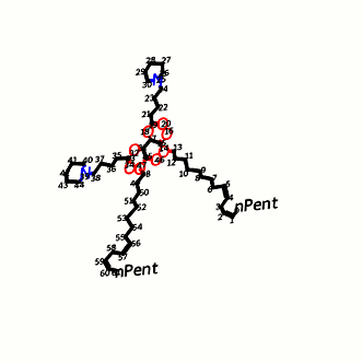 CCCCC/C=C\C/C=C\CCCCCCCCOC(=O)C(OC(=O)CCCCN1CCCCC1)C(OC(=O)CCCCN1CCCCC1)C(=O)OCCCCCCCC/C=C\C/C=C\CCCCC